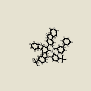 CC(C)(C)c1ccc2c(c1)B1c3c(c4oc5ccccc5c4c4c5cc(C(C)(C)C)ccc5n-2c34)-c2cc3oc4ccccc4c3cc2N1c1cccc(-c2ccccc2)c1